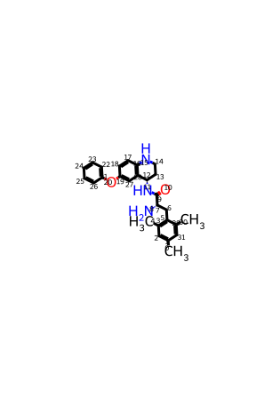 Cc1cc(C)c(C[C@H](N)C(=O)N[C@H]2CCNc3ccc(Oc4ccccc4)cc32)c(C)c1